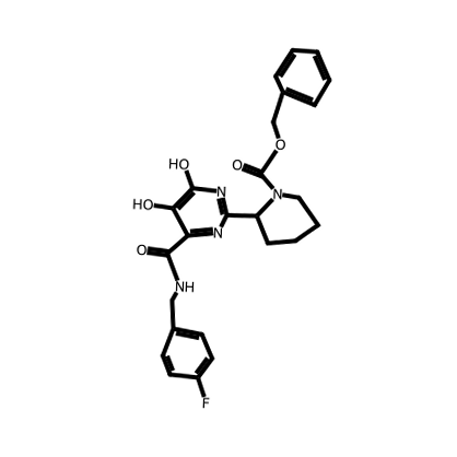 O=C(NCc1ccc(F)cc1)c1nc(C2CCCCN2C(=O)OCc2ccccc2)nc(O)c1O